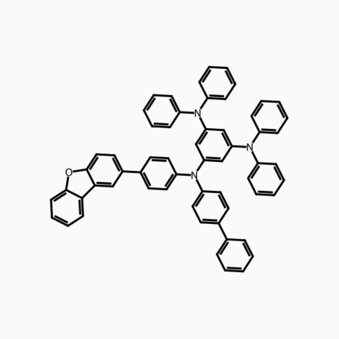 c1ccc(-c2ccc(N(c3ccc(-c4ccc5oc6ccccc6c5c4)cc3)c3cc(N(c4ccccc4)c4ccccc4)cc(N(c4ccccc4)c4ccccc4)c3)cc2)cc1